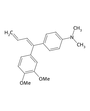 C=CC=C(c1ccc(N(C)C)cc1)c1ccc(OC)c(OC)c1